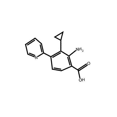 Nc1c(C(=O)O)ccc(-c2ccccn2)c1C1CC1